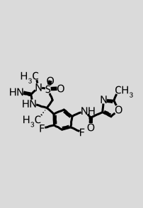 Cc1nc(C(=O)Nc2cc([C@]3(C)CS(=O)(=O)N(C)C(=N)N3)c(F)cc2F)co1